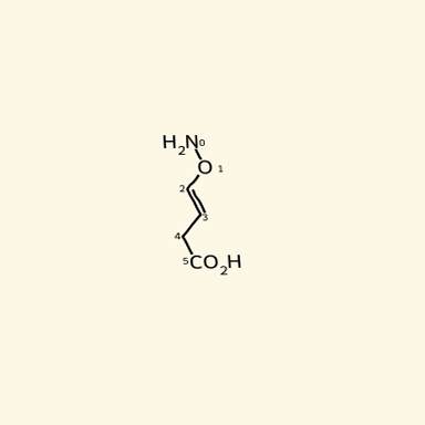 NOC=CCC(=O)O